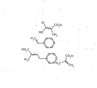 C/C(=C\Cc1ccccc1)C(=O)O.C=C(C)C(=O)O.C=Cc1ccccc1.CC/C(O)=C(/C)C(=O)O